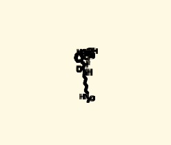 CC(=O)NCCCCCCNC(=O)C(F)c1ccccc1OP(=O)(O)O